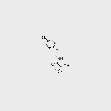 CC(C)(C)C(O)C(=O)NCOc1ccc(Cl)cc1